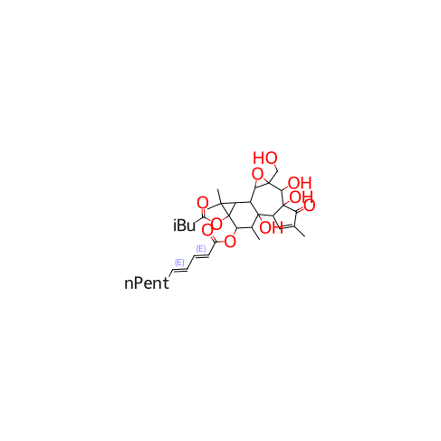 CCCCC/C=C/C=C/C(=O)OC1C(C)C2(O)C(C3OC3(CO)C(O)C3(O)C(=O)C(C)=CC32)C2C(C)(C)C12OC(=O)C(C)CC